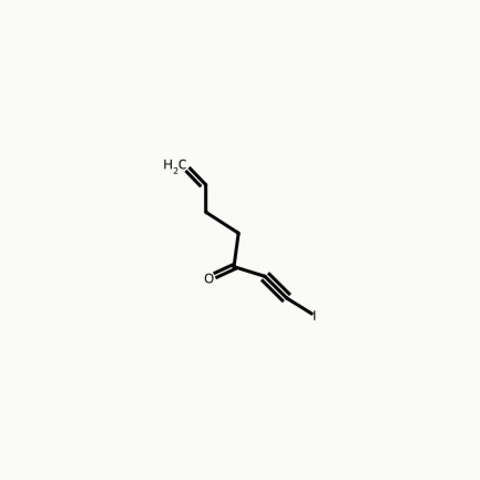 C=CCCC(=O)C#CI